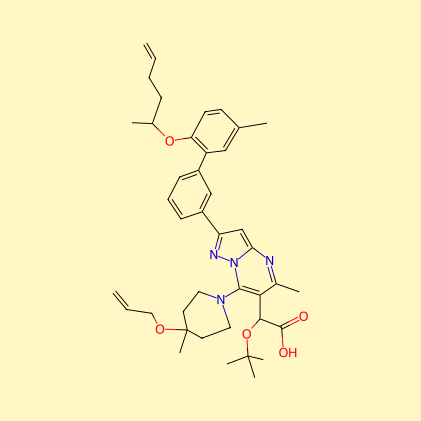 C=CCCC(C)Oc1ccc(C)cc1-c1cccc(-c2cc3nc(C)c(C(OC(C)(C)C)C(=O)O)c(N4CCC(C)(OCC=C)CC4)n3n2)c1